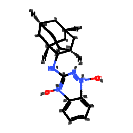 [O-][n+]1nc(NC2[C@H]3C[C@@H]4C[C@@H](C[C@H]2C4)C3)[n+]([O-])c2ccccc21